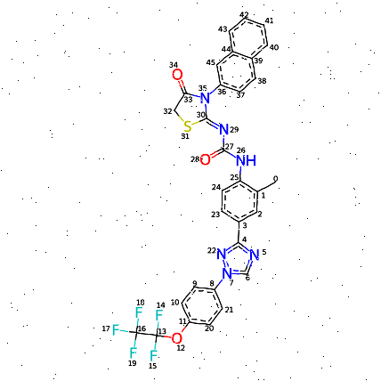 Cc1cc(-c2ncn(-c3ccc(OC(F)(F)C(F)(F)F)cc3)n2)ccc1NC(=O)N=C1SCC(=O)N1c1ccc2ccccc2c1